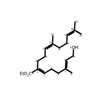 CCOC(=O)C(=CCCC(C)=CCO)CCC=C(C)CCC=C(C)C